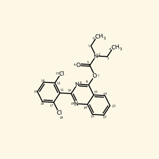 CCN(CC)C(=O)Oc1nc(-c2c(Cl)cccc2Cl)nc2ccccc12